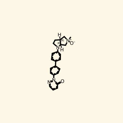 C[N+]1([O-])C[C@H]2CCN(c3ccc(-c4ccc(-n5ncccc5=O)cc4)cc3)[C@H]2C1